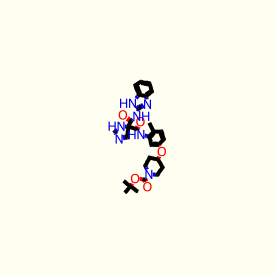 Cc1ccc(OC2CCN(C(=O)OC(C)(C)C)CC2)cc1NC(=O)C1(C(=O)Nc2nc3ccccc3[nH]2)C=NCN1